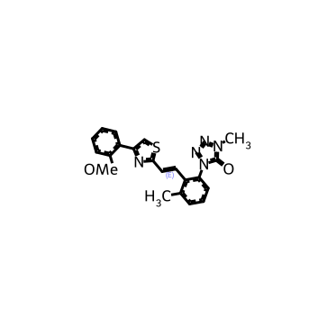 COc1ccccc1-c1csc(/C=C/c2c(C)cccc2-n2nnn(C)c2=O)n1